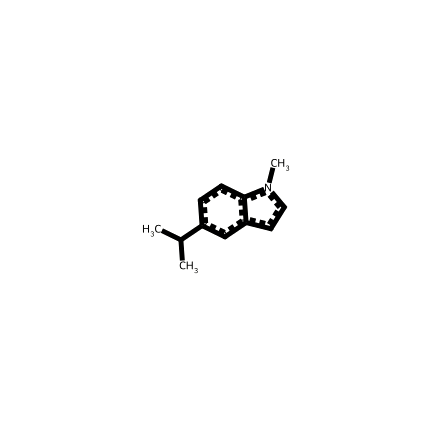 CC(C)c1ccc2c(ccn2C)c1